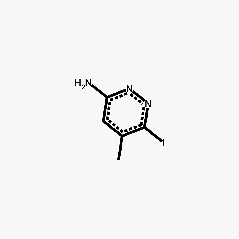 Cc1cc(N)nnc1I